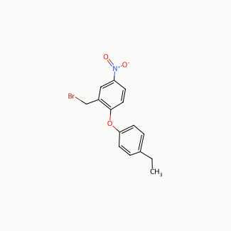 CCc1ccc(Oc2ccc([N+](=O)[O-])cc2CBr)cc1